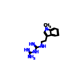 Cn1cc(CCNC(=N)NC(=N)N)c2ccccc21